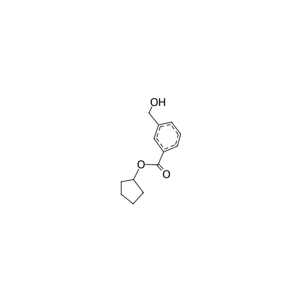 O=C(OC1CCCC1)c1cccc(CO)c1